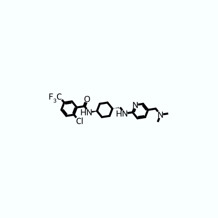 CN(C)Cc1ccc(NC[C@H]2CC[C@H](NC(=O)c3cc(C(F)(F)F)ccc3Cl)CC2)nc1